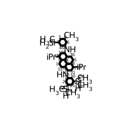 C[SiH2]c1cc(C)cc(Nc2cc(C(C)C)c3ccc4c(Nc5cc([SiH](C)C)cc([SiH](C)C)c5)cc(C(C)C)c5ccc2c3c45)c1